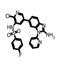 Nc1nc2ccc(-c3cnc(Cl)c(NS(=O)(=O)c4ccc(F)cc4)c3)cc2n1-c1ccccn1